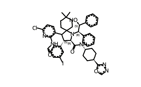 CC1(C)CCC2(CC1)C(c1ccc(Cl)nc1NC=O)[C@@H](c1cccc(I)c1)[C@H](C(=O)N[C@H]1CC[C@H](c3nnco3)CC1)N2[C@H](c1ccccc1)[C@@H](O)c1ccccc1